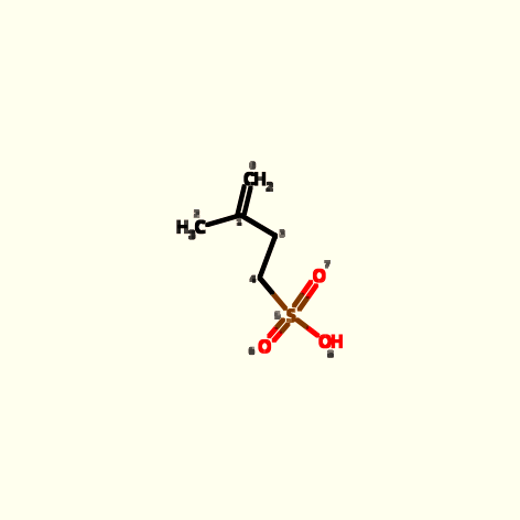 C=C(C)CCS(=O)(=O)O